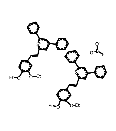 CCOc1ccc(C=Cc2cc(-c3ccccc3)cc(-c3ccccc3)[s+]2)cc1OCC.CCOc1ccc(C=Cc2cc(-c3ccccc3)cc(-c3ccccc3)[s+]2)cc1OCC.[O-]B([O-])F